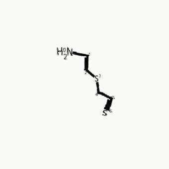 N/C=C/SC[C]=S